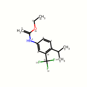 C=C(Nc1ccc(C(C)C)c(C(F)(F)F)c1)OCC